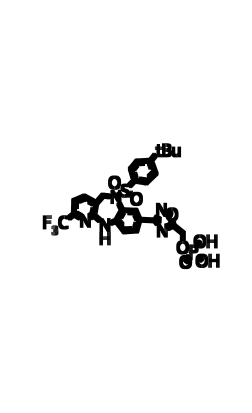 CC(C)(C)c1ccc(S(=O)(=O)N2Cc3ccc(C(F)(F)F)nc3Nc3ccc(-c4noc(COP(=O)(O)O)n4)cc32)cc1